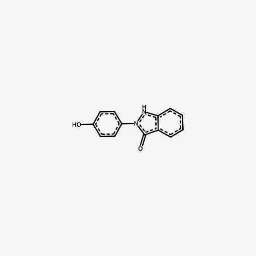 O=c1c2ccccc2[nH]n1-c1ccc(O)cc1